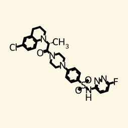 C[C@H](C(=O)N1CCN(c2ccc(S(=O)(=O)Nc3ccc(F)nn3)cc2)CC1)N1CCCc2cc(Cl)ccc21